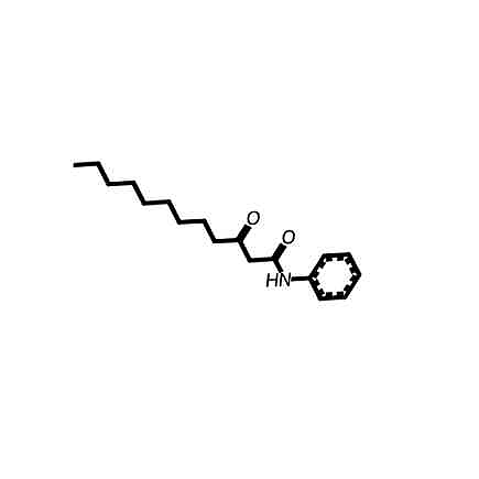 CCCCCCCCCC(=O)CC(=O)Nc1ccccc1